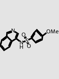 COc1ccc(S(=O)(=O)Nc2cncc3ccccc23)cc1